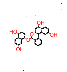 O=C(Oc1ccc(O)c2ccc(O)cc12)c1ccccc1-c1ccc(O)c2ccc(O)cc12